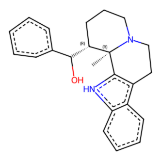 C[C@@]12c3[nH]c4ccccc4c3CCN1CCC[C@H]2C(O)c1ccccc1